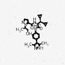 Cc1n[nH]c(C)c1-c1ccc(NC(=O)[C@@H](NC(=O)c2ccnn2C(C)CO)C(C2CC2)C2CC2)cc1